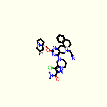 C[C@H]1CN2CCC[C@@]2(COc2nc3c(c(N4CCCn5nc(C(=O)N(C)C)c(Cl)c5C4)n2)CN(CC#N)[C@@]2(CCCc4ccccc42)C3)C1